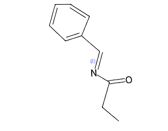 CCC(=O)/N=C/c1ccccc1